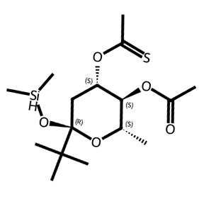 CC(=O)O[C@H]1[C@H](C)O[C@](O[SiH](C)C)(C(C)(C)C)C[C@@H]1OC(C)=S